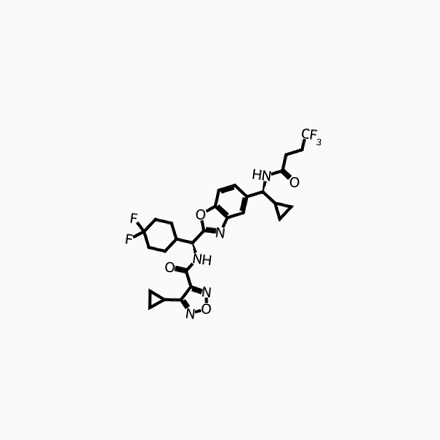 O=C(CCC(F)(F)F)N[C@H](c1ccc2oc([C@@H](NC(=O)c3nonc3C3CC3)C3CCC(F)(F)CC3)nc2c1)C1CC1